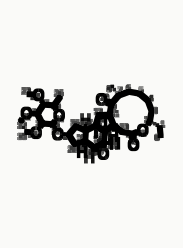 CC[C@H]1CCCC[C@@H](C)C(=O)C2=C[C@]3(C)[C@@H]([C@@H]4O[C@@H]4[C@@H]4C[C@@H](O[C@@H]5OC(C)[C@H](OC)C(OC)C5OC)C[C@H]43)[C@@H]2CC(=O)O1